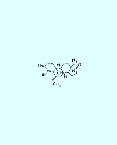 CC=C1C[C@@H]2[C@H](CC[C@]3(C)C(=O)CC[C@@H]23)[C@@]2(C)C=CC(=O)C(Br)=C12